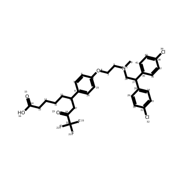 CN(CCOc1ccc(C(CCCCC(=O)O)CC(=O)C(F)(F)F)cc1)CC(c1ccc(Cl)cc1)c1ccc(Cl)cc1